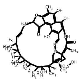 CO[C@H]1/C=C/O[C@@]2(C)Oc3c(C)c(O)c4c(O)c(c(/C=N/N5CCN(C)CC5)c(O)c4c3C2=O)NC(=O)/C(C)=C\C=C\[C@H](C)[C@H](O)[C@@H](C)[C@@H](O)[C@@H](C)[C@H](OC(C)=O)[C@@H]1C.O=S(=O)(O)O